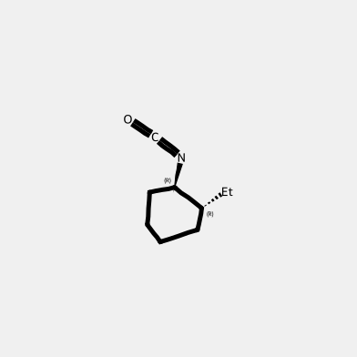 CC[C@@H]1CCCC[C@H]1N=C=O